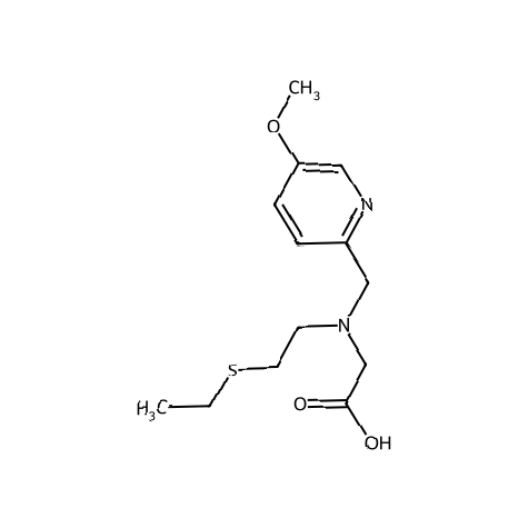 CCSCCN(CC(=O)O)Cc1ccc(OC)cn1